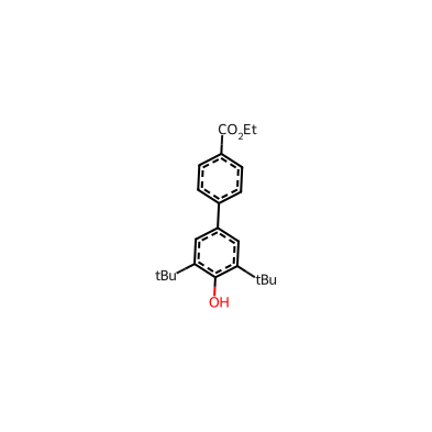 CCOC(=O)c1ccc(-c2cc(C(C)(C)C)c(O)c(C(C)(C)C)c2)cc1